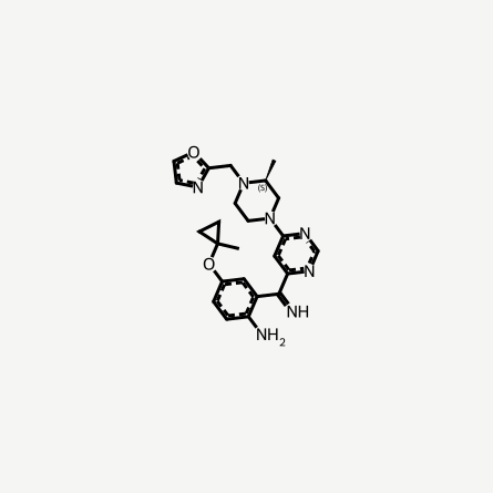 C[C@H]1CN(c2cc(C(=N)c3cc(OC4(C)CC4)ccc3N)ncn2)CCN1Cc1ncco1